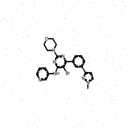 Cn1ccc(-c2cccc(-c3nc(N4CCOCC4)nc(Nc4cccnc4)c3Br)c2)n1